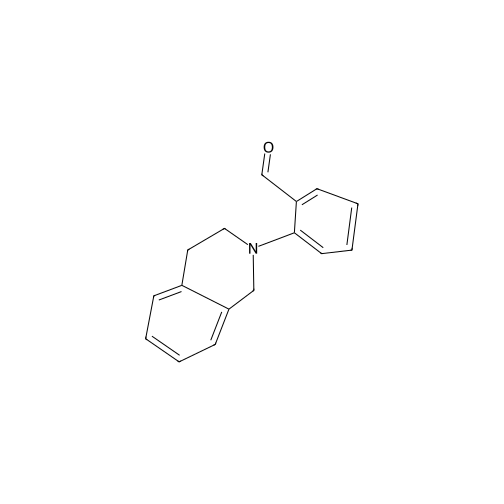 O=Cc1ccccc1N1CCc2ccccc2C1